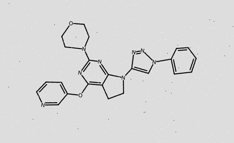 c1ccc(-n2cc(N3CCc4c(Oc5cccnc5)nc(N5CCOCC5)nc43)nn2)cc1